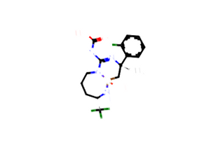 C[C@@]1(c2ccccc2F)CS2(O)N[C@H](C(F)(F)F)CCCN2C(NC(=O)O)=N1